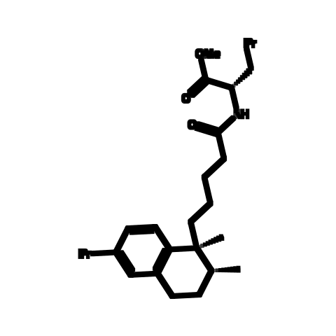 COC(=O)[C@H](CC(C)C)NC(=O)CCCC[C@]1(C)c2ccc(C(C)C)cc2CC[C@H]1C